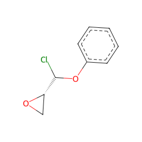 ClC(Oc1ccccc1)[C@@H]1CO1